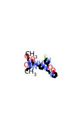 CCCn1c(=O)n(CCOC)c(=O)c2[nH]c(-c3ccc(N(CCCn4ccccc4=O)C(=O)c4ccc(F)nc4)nc3)nc21